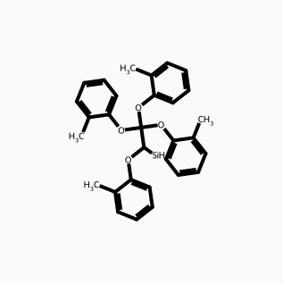 Cc1ccccc1OC([SiH3])C(Oc1ccccc1C)(Oc1ccccc1C)Oc1ccccc1C